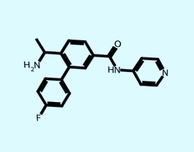 CC(N)c1ccc(C(=O)Nc2ccncc2)cc1-c1ccc(F)cc1